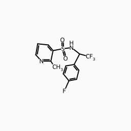 Cc1ncccc1S(=O)(=O)NC(c1ccc(F)cc1)C(F)(F)F